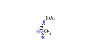 CNCCN1CCC(c2ccc3[nH]c(-c4ccncc4)c(C)c3c2)CC1